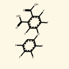 O=C(O)c1c(F)c(F)c(Oc2cc(F)c(F)c(F)c2F)c(F)c1C(=O)O